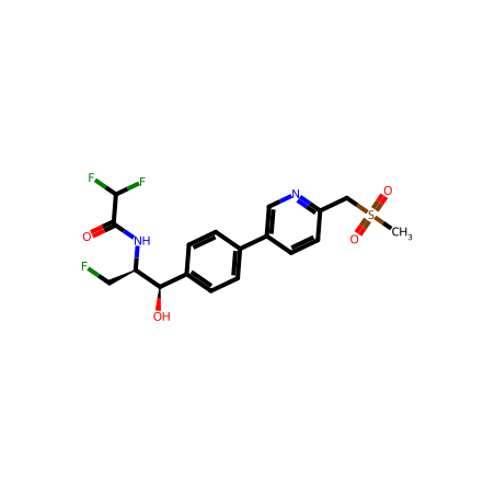 CS(=O)(=O)Cc1ccc(-c2ccc([C@@H](O)[C@@H](CF)NC(=O)C(F)F)cc2)cn1